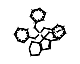 CC1=CC2=C(CCCC2)[C]1(C[SiH2]C(C)(C)C)[Ti]([CH2]c1ccccc1)([CH2]c1ccccc1)[CH2]c1ccccc1